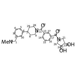 CNCc1cccc(C2CCN(C(=O)c3cccc(C(=O)N4CC(O)[C@H](O)C4)c3)CC2)c1